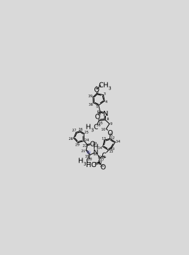 COc1ccc(-c2nc(CCOc3ccc(C[C@H](N/C(C)=C\C(=O)c4ccccc4)C(=O)O)cc3)c(C)o2)cc1